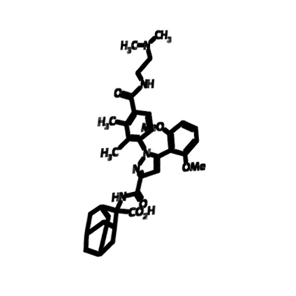 COc1cccc(OC)c1-c1cc(C(=O)NC2(C(=O)O)C3CC4CC(C3)CC2C4)nn1-c1ccc(C(=O)NCCN(C)C)c(C)c1C